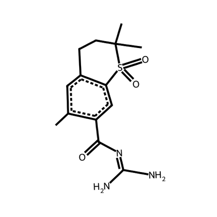 Cc1cc2c(cc1C(=O)N=C(N)N)S(=O)(=O)C(C)(C)CC2